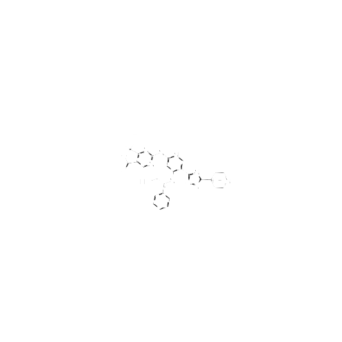 CC1(C)OC(=O)c2cnc(Nc3cc(N[C@H](CO)c4ccccc4)c(-c4nc(C56CCN(CC5)CC6)no4)cn3)nc21